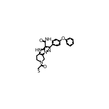 NC(=O)c1c(-c2ccc(Oc3ccccc3)cc2)nn2c3c([nH]c12)CCN(C(=O)C=S)C3